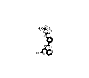 CC(C)(C)OC(=O)Nc1cccc(C(=O)NC(CC(=O)O)c2cccnc2)c1